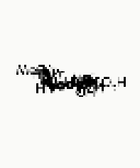 COC(=O)N[C@H](C(=O)N1CCCC1c1nc(-c2ccc(-c3ccc(-c4[nH]c([C@@H]5CCCN5C(=O)[C@H](C(C)C)N(C)C(=O)O)nc4CO)cc3)cc2)c[nH]1)C(C)C